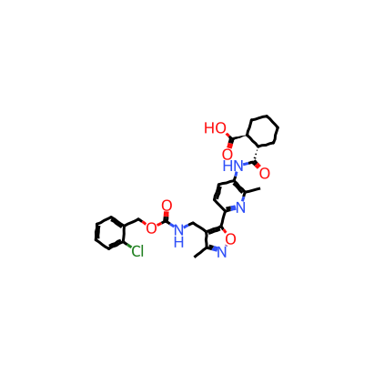 Cc1nc(-c2onc(C)c2CNC(=O)OCc2ccccc2Cl)ccc1NC(=O)[C@H]1CCCC[C@@H]1C(=O)O